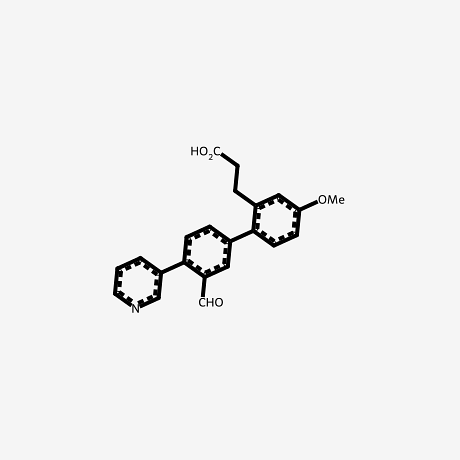 COc1ccc(-c2ccc(-c3cccnc3)c(C=O)c2)c(CCC(=O)O)c1